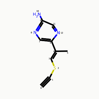 C#CS/C=C(\C)c1cnc(N)cn1